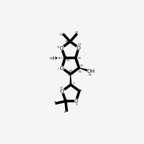 CC1(C)OCC([C@H]2O[C@H]3OC(C)(C)OC3[C@H]2O)O1